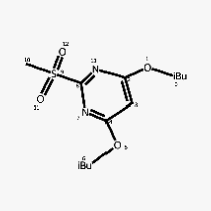 CCC(C)Oc1cc(OC(C)CC)nc(S(C)(=O)=O)n1